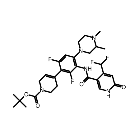 CC1CN(c2cc(F)c(C3=CCN(C(=O)OC(C)(C)C)CC3)c(F)c2NC(=O)c2c[nH]c(=O)cc2C(F)F)CCN1C